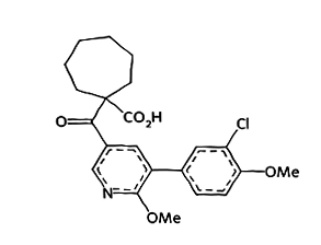 COc1ccc(-c2cc(C(=O)C3(C(=O)O)CCCCCC3)cnc2OC)cc1Cl